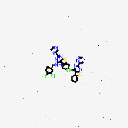 Clc1ccc(CNc2nc(-c3cnccn3)nc3sc4c(c23)CCCC4)cc1Cl.Clc1nc(-c2cnccn2)nc2sc3c(c12)CCCC3